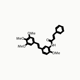 COc1ccc(/C=C/c2cc(OC)c(OC)c(OC)c2)cc1NC(=O)/C=C/c1ccccc1